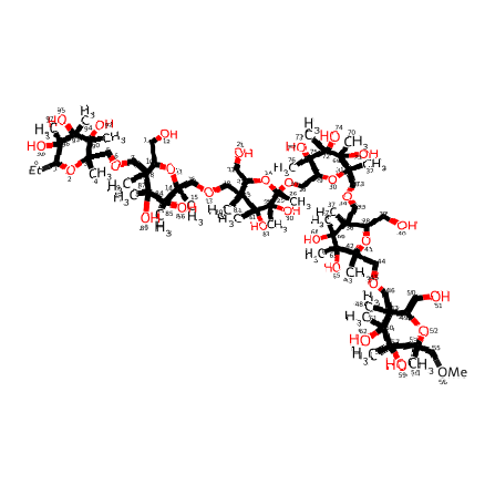 CCC1OC(C)(COCC2(C)C(CO)OC(C)(COCC3(C)C(CO)OC(C)(OCC4OC(C)(COCC5(C)C(CO)OC(C)(COCC6(C)C(CO)OC(C)(COC)C(C)(O)C6(C)O)C(C)(O)C5(C)O)C(C)(O)C(C)(O)C4(C)O)C(C)(O)C3(C)O)C(C)(O)C2(C)O)C(C)(O)C(C)(O)C1(C)O